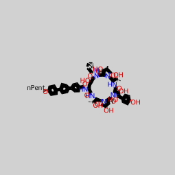 CCCCCOc1ccc(-c2ccc(-c3ccc(C(=O)NC4C[C@@H](O)[C@@H](OCC[Si](C)(C)C)NC(=O)[C@@H]5[C@@H](O)[C@@H](C)CN5C(=O)[C@H]([C@@H](C)O)NC(=O)[C@H]([C@H](O)[C@@H](O)c5ccc(O)cc5)NC(=O)[C@@H]5C[C@@H](O)CN5C(=O)[C@H]([C@@H](C)O)NC4=O)cc3)cc2)cc1